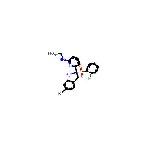 CC(C)(C)c1ccc(CC(N)(c2cccc(NCC(=O)O)n2)S(=O)(=O)c2ccccc2F)cc1